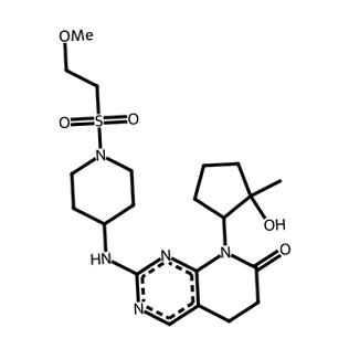 COCCS(=O)(=O)N1CCC(Nc2ncc3c(n2)N(C2CCCC2(C)O)C(=O)CC3)CC1